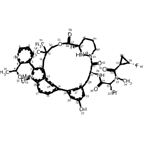 CCn1c(-c2cccnc2[C@H](C)OC)c2c3cc(ccc31)-c1cc(O)cc(c1)C[C@H](NC(=O)[C@H](C(C)C)N(C)C(=O)[C@H]1C[C@@H]1F)C(=O)N1CCC[C@H](N1)C(=O)OCC(C)(C)C2